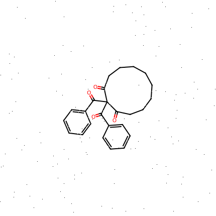 O=C1CCCCCCCCC(=O)C1(C(=O)c1ccccc1)C(=O)c1ccccc1